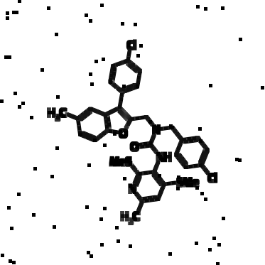 CSc1cc(C)nc(SC)c1NC(=O)N(Cc1ccc(Cl)cc1)Cc1oc2ccc(C)cc2c1-c1ccc(Cl)cc1